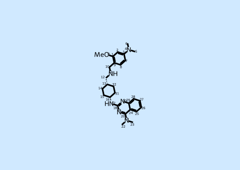 COc1cc(N(C)C)ccc1CNC[C@H]1CC[C@@H](Nc2nc(N(C)C)c3ccccc3n2)CC1